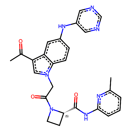 CC(=O)c1cn(CC(=O)N2CC[C@H]2C(=O)Nc2cccc(C)n2)c2ccc(Nc3cncnc3)cc12